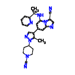 Cc1c(-c2cc(N[C@H](C)c3ccccn3)n3c(C#N)cnc3c2)cnn1C1CCN(C#N)CC1